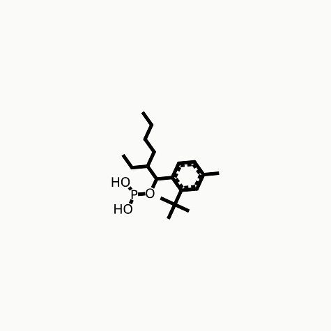 CCCCC(CC)C(OP(O)O)c1ccc(C)cc1C(C)(C)C